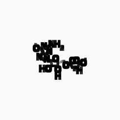 [2H]C(CC(=O)OC[C@H]1OC(n2cnc3c(OC)nc(N)nc32)[C@@H](O)[C@@H]1O)C(=O)OC